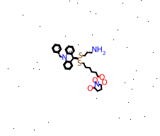 NCCCSC(SCCCCCC(=O)ON1C(=O)CCC1=O)=C1c2ccccc2N(Cc2ccccc2)c2ccccc21